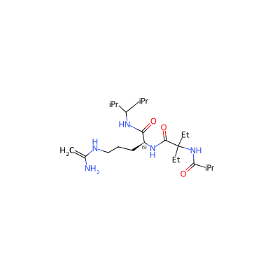 C=C(N)NCCC[C@H](NC(=O)C(CC)(CC)NC(=O)C(C)C)C(=O)NC(C(C)C)C(C)C